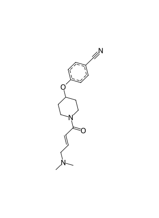 CN(C)C/C=C/C(=O)N1CCC(Oc2ccc(C#N)cc2)CC1